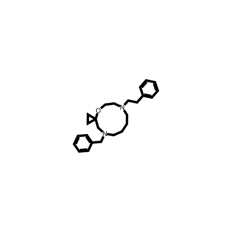 c1ccc(CCN2CCCCN(Cc3ccccc3)CC3(CC3)OCC2)cc1